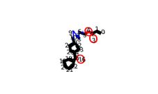 C=CC(=O)OCC[N+](C)(C)Cc1ccc(C(=O)c2ccccc2)cc1